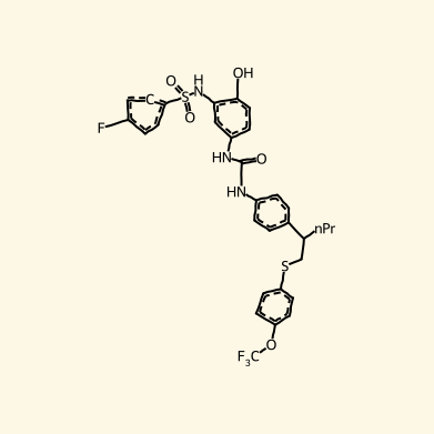 CCCC(CSc1ccc(OC(F)(F)F)cc1)c1ccc(NC(=O)Nc2ccc(O)c(NS(=O)(=O)c3ccc(F)cc3)c2)cc1